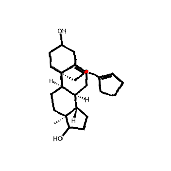 C[C@]12CC[C@@H]3[C@@H](CC=C4CC(O)CC[C@@]43COC3=CCCC3)[C@@H]1CCC2O